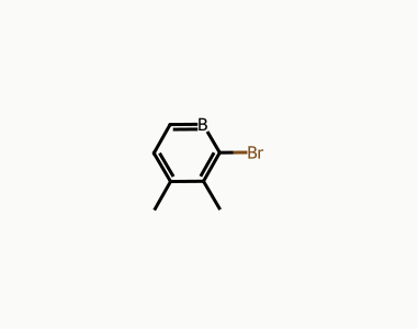 Cc1ccbc(Br)c1C